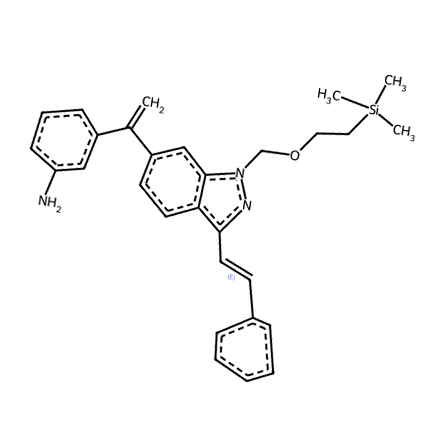 C=C(c1cccc(N)c1)c1ccc2c(/C=C/c3ccccc3)nn(COCC[Si](C)(C)C)c2c1